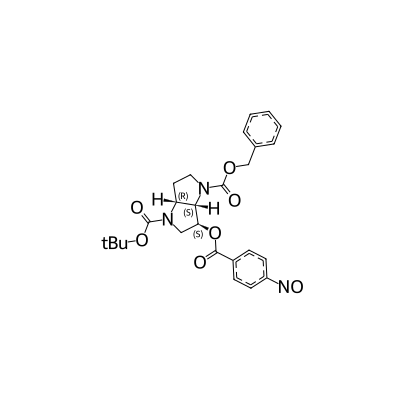 CC(C)(C)OC(=O)N1C[C@H](OC(=O)c2ccc(N=O)cc2)[C@@H]2[C@H]1CCN2C(=O)OCc1ccccc1